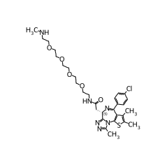 CNCCOCCOCCOCCOCCNC(=O)C[C@@H]1N=C(c2ccc(Cl)cc2)c2c(sc(C)c2C)-n2c(C)nnc21